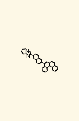 c1ccc2c(c1)ccc1cc(-c3ccc4cc(-c5cn6ccccc6n5)ccc4c3)c3ccccc3c12